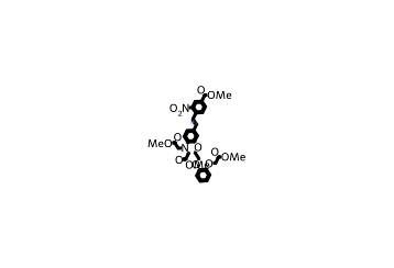 COC(=O)COc1ccccc1OCCOc1cc(/C=C/c2ccc(C(=O)OC)cc2[N+](=O)[O-])ccc1N(CC(=O)OC)CC(=O)OC